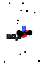 CCOC(=O)CN(C(=O)[C@H](C)NC(=O)OCc1ccccc1)C1CCCCC1